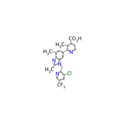 Cc1c(C(=O)O)ccnc1-c1cc(C)c2nc(C)n(Cc3ncc(C(F)(F)F)cc3Cl)c2c1